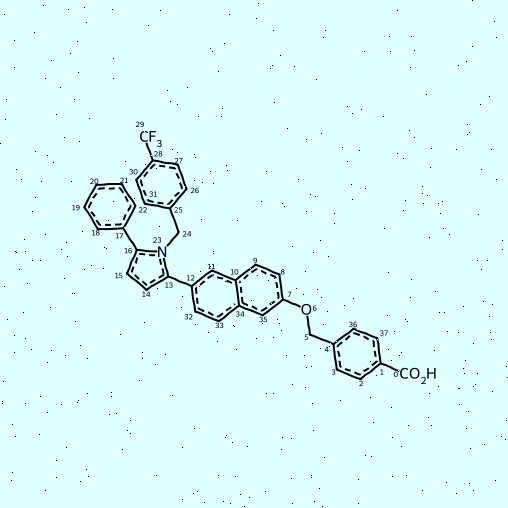 O=C(O)c1ccc(COc2ccc3cc(-c4ccc(-c5ccccc5)n4Cc4ccc(C(F)(F)F)cc4)ccc3c2)cc1